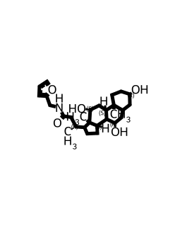 C[C@H](CC(=O)NCc1ccco1)C1CC[C@H]2C3[C@H](O)CC4C[C@H](O)CCC4(C)[C@H]3C[C@H](O)C12C